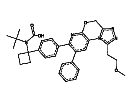 COCCc1nnc2n1-c1cc(-c3ccccc3)c(-c3ccc(C4(N(C(=O)O)C(C)(C)C)CCC4)cc3)nc1OC2